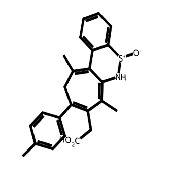 CC1=C2C(=C(C)C(CC(=O)O)=C(c3ccc(C)cc3)C1)N[S+]([O-])c1ccccc12